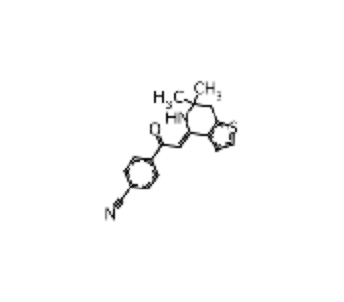 CC1(C)Cc2sccc2C(=CC(=O)c2ccc(C#N)cc2)N1